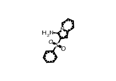 Nc1c(S(=O)(=O)c2ccccc2)cc2ccccn12